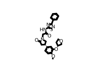 COc1ccc([C@@H]2CC(=O)N(CC(=O)Nc3nc(-c4ccccc4)ns3)C2)cc1O[C@@H]1CCOC1